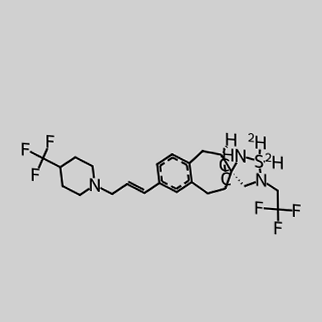 [2H]S1([2H])N[C@@]2(CN1CC(F)(F)F)C1CC[C@H]2Cc2ccc(/C=C/CN3CCC(C(F)(F)F)CC3)cc2C1